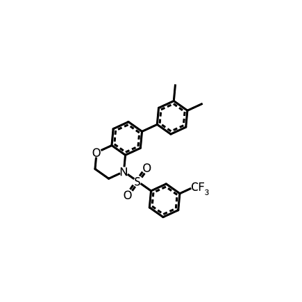 Cc1ccc(-c2ccc3c(c2)N(S(=O)(=O)c2cccc(C(F)(F)F)c2)CCO3)cc1C